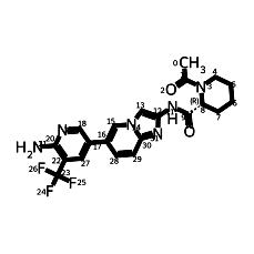 CC(=O)N1CCCC[C@@H]1C(=O)Nc1cn2cc(-c3cnc(N)c(C(F)(F)F)c3)ccc2n1